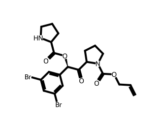 C=CCOC(=O)N1CCCC1C(=O)[C@H](OC(=O)C1CCCN1)c1cc(Br)cc(Br)c1